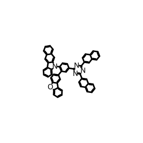 c1ccc2cc(-c3nc(-c4ccc(-n5c6ccccc6c6cc7ccccc7cc65)c(-c5ccc6oc7ccccc7c6c5)c4)nc(-c4ccc5ccccc5c4)n3)ccc2c1